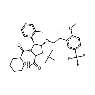 COc1ccc(C(F)(F)F)cc1[C@@H](C)CO[C@H]1[C@H](C(C)(C)C)[C@@H](C(=O)O)N(C(=O)[C@@H]2CCCCO2)[C@H]1c1ccccc1C